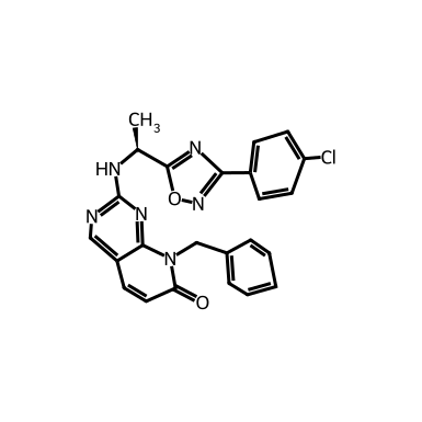 C[C@H](Nc1ncc2ccc(=O)n(Cc3ccccc3)c2n1)c1nc(-c2ccc(Cl)cc2)no1